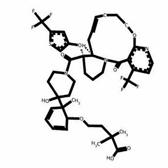 CC(C)(CCOC1C=CC=CC1(C)C1(O)CCN(C(=O)[C@]2(Oc3csc(C(F)(F)F)c3)CCCN3C(=O)c4c(C(F)(F)F)ccnc4OCCC/C=C\C[C@@H]32)CC1)C(=O)O